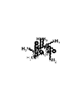 CNC(=O)CN(Cc1ccccc1)C(=O)CN(CCCCN)C(=O)CN(Cc1ccccc1)C(=O)CN(CCCCN)C(=O)CN(CCCCN)C(=O)CN(CCCCN)C(=O)CN(Cc1ccccc1)C(=O)CN(CCCCN)C(C)=O